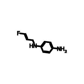 Nc1ccc(NCC=CF)cc1